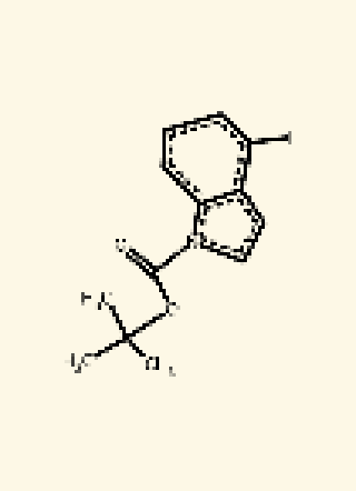 CC(C)(C)OC(=O)n1ccc2c(I)cccc21